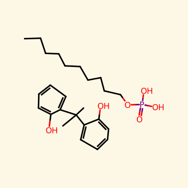 CC(C)(c1ccccc1O)c1ccccc1O.CCCCCCCCCCOP(=O)(O)O